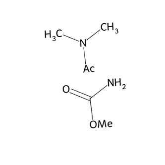 CC(=O)N(C)C.COC(N)=O